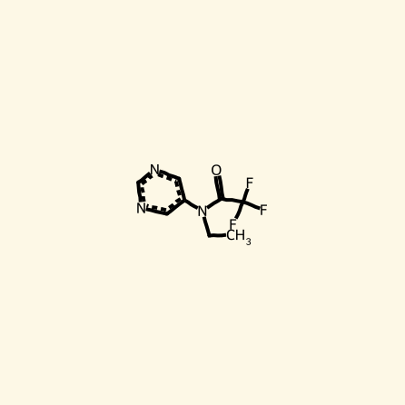 CCN(C(=O)C(F)(F)F)c1cncnc1